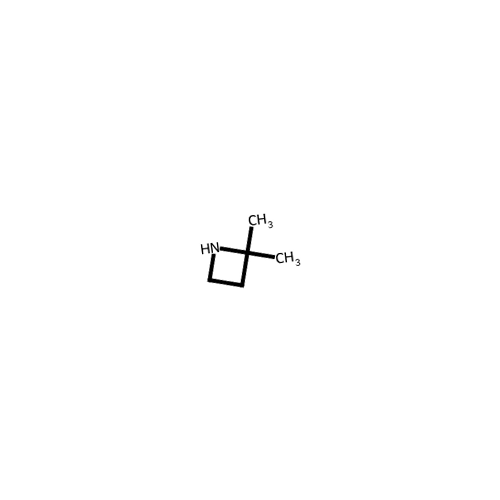 CC1(C)CCN1